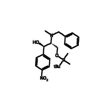 CN(Cc1ccccc1)[C@H](CO[Si](C)(C)C(C)(C)C)[C@H](O)c1ccc([N+](=O)[O-])cc1